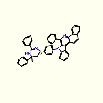 CC1(c2ccccc2)C[C@@H](c2ccc(-n3c4ccccc4c4c5ccc6ccccc6c5nc(-c5ccccc5)c43)cc2)N=C(c2ccccc2)N1